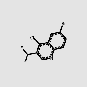 FC(F)c1cnc2ccc(Br)cc2c1Cl